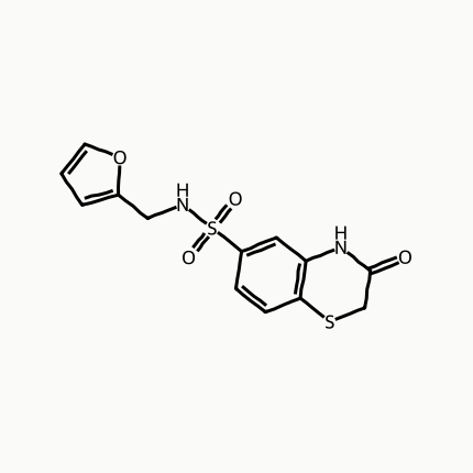 O=C1CSc2ccc(S(=O)(=O)NCc3ccco3)cc2N1